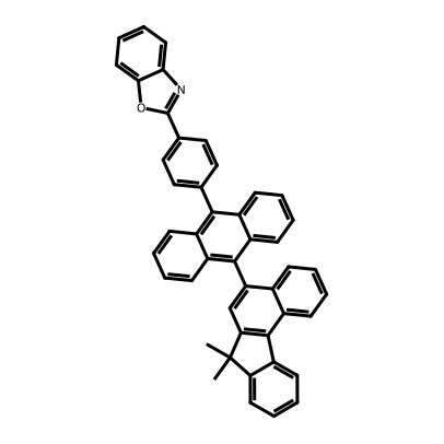 CC1(C)c2ccccc2-c2c1cc(-c1c3ccccc3c(-c3ccc(-c4nc5ccccc5o4)cc3)c3ccccc13)c1ccccc21